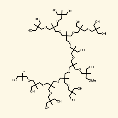 CCC(C)(CO)COCC(C)(CO)COCC(C)(COCC(C)(CO)CO)COCC(C)(COCC(C)(CO)CO)COCC(C)(COCC(C)(CO)COC)COCC(C)(CO)COCC(C)(COCC(C)(CO)COCC(C)(CO)CO)COCC(C)(COCC(C)(CO)CO)COCC(C)(CO)CO